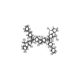 CCc1ccccc1-c1ccc(N(c2ccc(-c3ccccc3)cc2)c2ccc3c(ccc4cc(N(c5ccc(-c6ccccc6)cc5)c5ccc6c(c5)C(C)(C)c5ccccc5-6)ccc43)c2)cc1CC